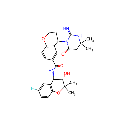 CC1(C)CC(=O)N([C@@H]2CCOc3ccc(C(=O)N[C@@H]4c5cc(F)ccc5OC(C)(C)[C@H]4O)cc32)C(=N)N1